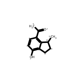 CC(=O)c1ccc(O)c2c1C(C)CC2